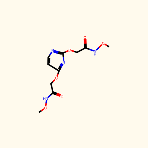 CONC(=O)COc1ccnc(OCC(=O)NOC)n1